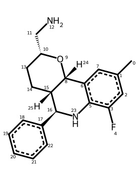 Cc1cc(F)c2c(c1)[C@H]1O[C@@H](CN)CC[C@H]1[C@H](c1ccccc1)N2